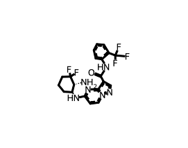 N[C@@H]1[C@H](Nc2ccn3ncc(C(=O)Nc4ccccc4C(F)(F)F)c3n2)CCCC1(F)F